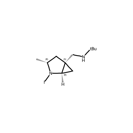 C[C@@H]1C[C@@]2(CNC(C)(C)C)C[C@H]2N1I